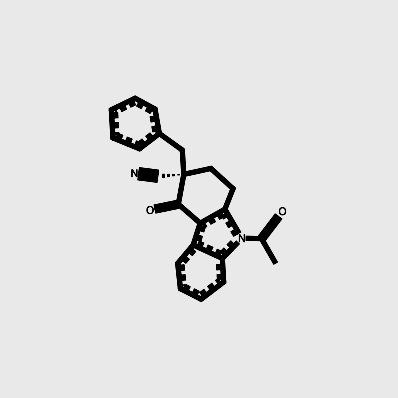 CC(=O)n1c2c(c3ccccc31)C(=O)[C@@](C#N)(Cc1ccccc1)CC2